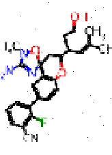 CC(C)=CC(CCO)C1CC2(N=C(N)N(C)O2)c2cc(-c3cccc(C#N)c3F)ccc2O1